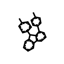 Cc1ccc(-c2cccc3c2C(c2ccc(C)cc2)c2ccccc2-3)cc1